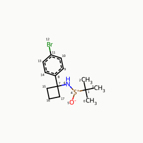 CC(C)(C)[S+]([O-])NC1(c2ccc(Br)cc2)CCC1